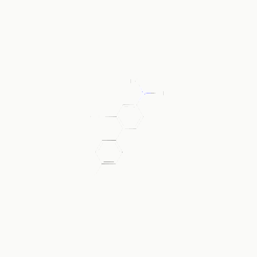 CN(C)c1ccc(-c2ccc(Br)cc2)c(C=O)c1